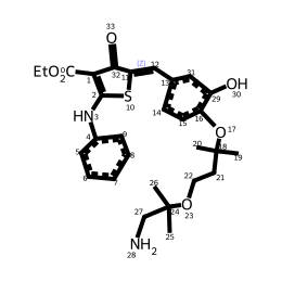 CCOC(=O)C1=C(Nc2ccccc2)S/C(=C\c2ccc(OC(C)(C)CCOC(C)(C)CN)c(O)c2)C1=O